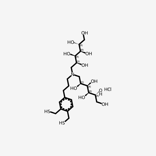 Cl.OC[C@@H](O)[C@@H](O)[C@H](O)[C@@H](O)CN(CCCc1ccc(CS)c(CS)c1)C[C@H](O)[C@@H](O)[C@H](O)[C@H](O)CO